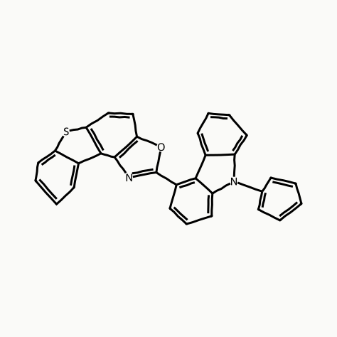 c1ccc(-n2c3ccccc3c3c(-c4nc5c(ccc6sc7ccccc7c65)o4)cccc32)cc1